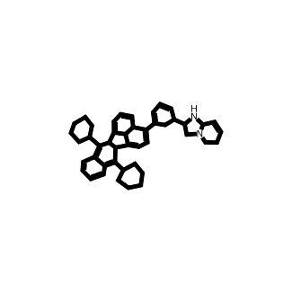 C1=CC(C2CN3CCC=CC3N2)CC(C2=CC=C3C4C(=CC=CC24)C2C(C4CCCCC4)=c4ccccc4=C(C4CCCCC4)C32)=C1